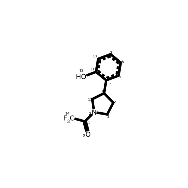 O=C(N1CCC(c2ccccc2O)C1)C(F)(F)F